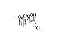 CCC[C@@H](CO)OC(=O)NC(C)(C)C